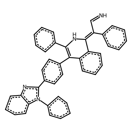 N=C/C(=C1\NC(c2ccccc2)=C(c2ccc(-c3nc4ccccc4n3-c3ccccc3)cc2)c2ccccc21)c1ccccc1